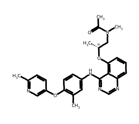 CC(=O)N(C)C[C@@H](C)Oc1cccc2ncnc(Nc3ccc(Oc4ccc(C)nc4)c(C)c3)c12